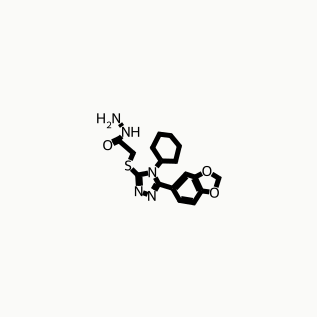 NNC(=O)CSc1nnc(-c2ccc3c(c2)OCO3)n1C1CCCCC1